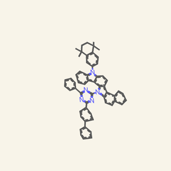 CC1(C)CCC(C)(C)c2cc(-n3c4ccccc4c4c3ccc3c5c6ccccc6ccc5n(-c5nc(-c6ccccc6)nc(-c6ccc(-c7ccccc7)cc6)n5)c34)ccc21